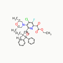 CCOC(=O)C(=O)c1nc(CO[Si](c2ccccc2)(c2ccccc2)C(C)(C)C)c(N2C[C@@H](C)O[C@@H](C)C2)c(Cl)c1F